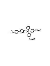 COc1ccc(C(OCc2ccc(-c3ccc(CO)cc3)nc2)(c2ccccc2)c2ccc(OC)cc2)cc1